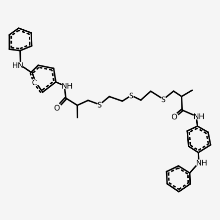 CC(CSCCSCCSCC(C)C(=O)Nc1ccc(Nc2ccccc2)cc1)C(=O)Nc1ccc(Nc2ccccc2)cc1